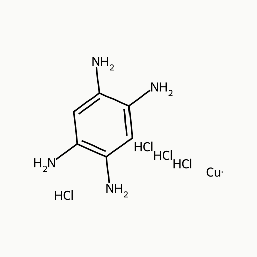 Cl.Cl.Cl.Cl.Nc1cc(N)c(N)cc1N.[Cu]